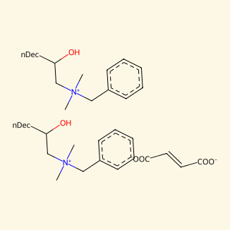 CCCCCCCCCCC(O)C[N+](C)(C)Cc1ccccc1.CCCCCCCCCCC(O)C[N+](C)(C)Cc1ccccc1.O=C([O-])C=CC(=O)[O-]